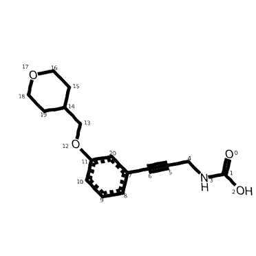 O=C(O)NCC#Cc1cccc(OCC2CCOCC2)c1